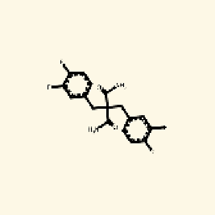 NC(=O)C(Cc1ccc(F)c(F)c1)(Cc1ccc(F)c(F)c1)C(N)=O